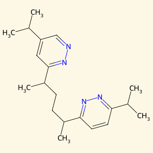 CC(C)c1cnnc(C(C)CCC(C)c2ccc(C(C)C)nn2)c1